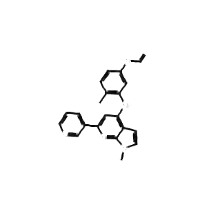 Cc1ccc(NC=O)cc1Nc1cc(-c2cccnc2)nc2c1ccn2C